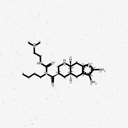 CCCCN(C(=O)NCCN(C)C)C(=O)[C@H]1CN[C@@H]2Cc3sc(N)c(N)c3C[C@H]2C1